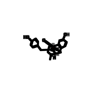 CN1CC[C@]23CC(=O)N(Cc4ccc(O)cc4)C[C@H]2[C@H]1Cc1ccc(O)cc13